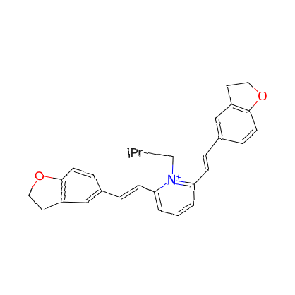 CC(C)C[n+]1c(/C=C/c2ccc3c(c2)CCO3)cccc1/C=C/c1ccc2c(c1)CCO2